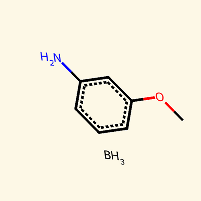 B.COc1cccc(N)c1